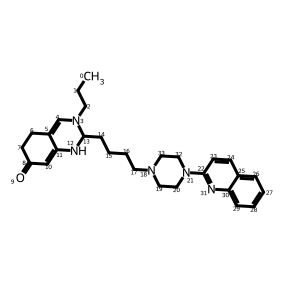 CCCN1C=C2CCC(=O)C=C2NC1CCCCN1CCN(c2ccc3ccccc3n2)CC1